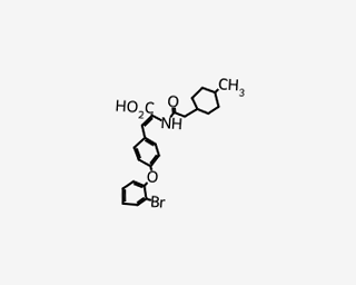 CC1CCC(CC(=O)N/C(=C\c2ccc(Oc3ccccc3Br)cc2)C(=O)O)CC1